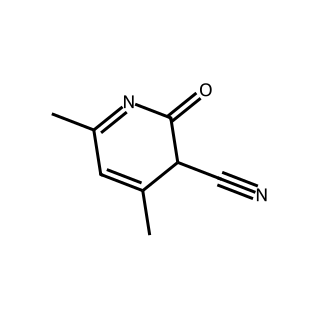 CC1=CC(C)=NC(=O)C1C#N